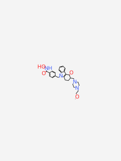 COCCN1CCN(CC2CCc3c(c4ccccc4n3Cc3ccc(C(=O)NO)cc3)C2=O)CC1